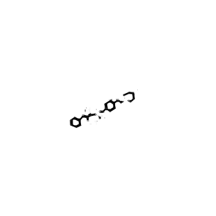 CCCc1c(-c2nc(-c3ccc(C(O)CN4CCC(C(C)=O)CC4)cc3)no2)noc1-c1ccccc1